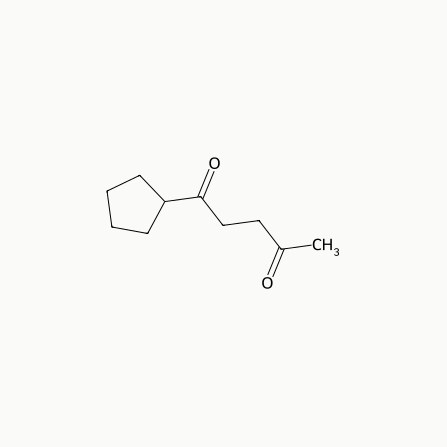 CC(=O)CCC(=O)C1CCCC1